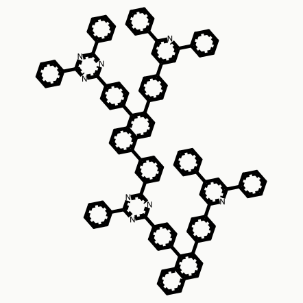 c1ccc(-c2cc(-c3ccccc3)nc(-c3ccc(-c4ccc5ccccc5c4-c4ccc(-c5nc(-c6ccccc6)nc(-c6cccc(-c7cccc8c(-c9ccc(-c%10nc(-c%11ccccc%11)nc(-c%11ccccc%11)n%10)cc9)c(-c9ccc(-c%10cc(-c%11ccccc%11)nc(-c%11ccccc%11)c%10)cc9)ccc78)c6)n5)cc4)cc3)c2)cc1